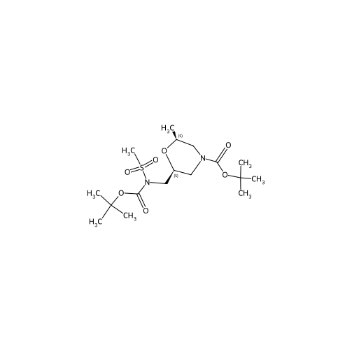 C[C@H]1CN(C(=O)OC(C)(C)C)C[C@@H](CN(C(=O)OC(C)(C)C)S(C)(=O)=O)O1